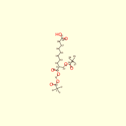 CC(C)(C)C(=O)OCOC(=O)C(CCCCCCCC(=O)O)COC(=O)C(C)(C)C